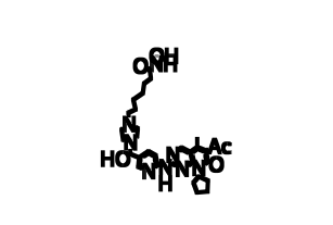 CC(=O)c1c(C)c2cnc(Nc3ccc(C(O)N4CCN(CCCCCCC(=O)NO)CC4)cn3)nc2n(C2CCCC2)c1=O